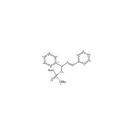 COP(=O)(OC)OC(/C=C/c1ccccc1)c1ccccc1